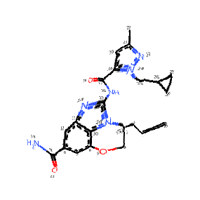 C=CC[C@H]1COc2cc(C(N)=O)cc3nc(NC(=O)c4cc(C)nn4CC4CC4)n1c23